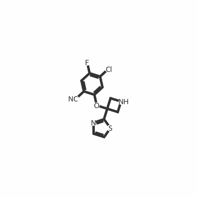 N#Cc1cc(F)c(Cl)cc1OC1(c2nccs2)CNC1